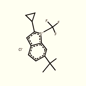 CC(C)(C)c1ccc2cc(C3CC3)[s+](C(F)(F)F)c2c1.[Cl-]